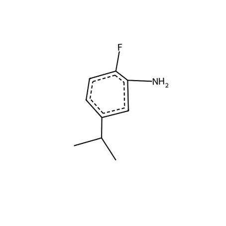 CC(C)c1ccc(F)c(N)c1